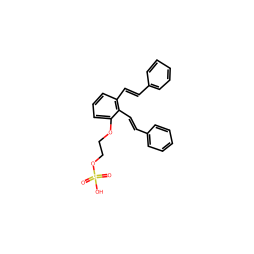 O=S(=O)(O)OCCOc1cccc(C=Cc2ccccc2)c1C=Cc1ccccc1